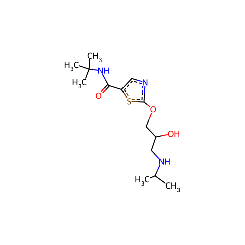 CC(C)NCC(O)COc1ncc(C(=O)NC(C)(C)C)s1